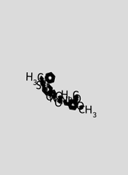 COc1ccc(CNC(=O)OC2=NOC3(CCN(C(=S)N(C)C4CCCCC4)CC3)C2)cc1OC